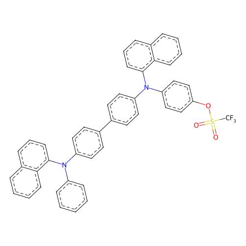 O=S(=O)(Oc1ccc(N(c2ccc(-c3ccc(N(c4ccccc4)c4cccc5ccccc45)cc3)cc2)c2cccc3ccccc23)cc1)C(F)(F)F